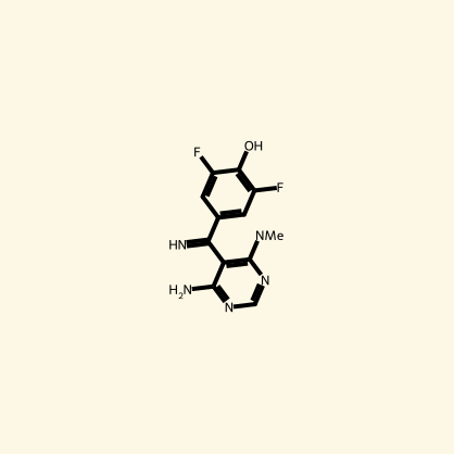 CNc1ncnc(N)c1C(=N)c1cc(F)c(O)c(F)c1